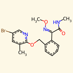 CNC(=O)C(=NOC)c1ccccc1COc1ncc(Br)cc1C